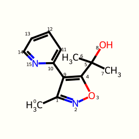 Cc1noc(C(C)(C)O)c1-c1ccccn1